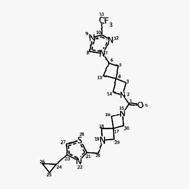 O=C(N1CC2(CC(n3cnc(C(F)(F)F)n3)C2)C1)N1CC2(CN(Cc3nc(C4CC4)cs3)C2)C1